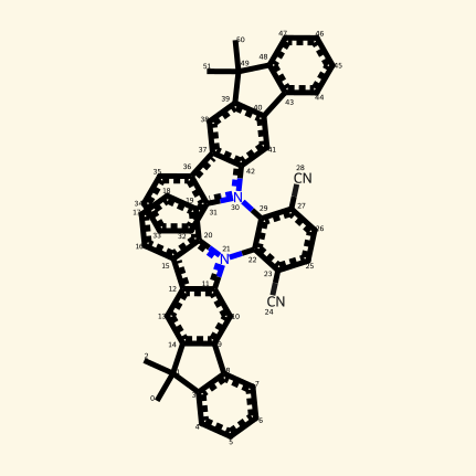 CC1(C)c2ccccc2-c2cc3c(cc21)c1ccccc1n3-c1c(C#N)ccc(C#N)c1-n1c2ccccc2c2cc3c(cc21)-c1ccccc1C3(C)C